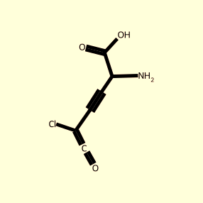 NC(C#CC(Cl)=C=O)C(=O)O